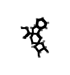 COC(=O)C12CCC3(C=C1c1ccccc1C2)OC(C)C(C)O3